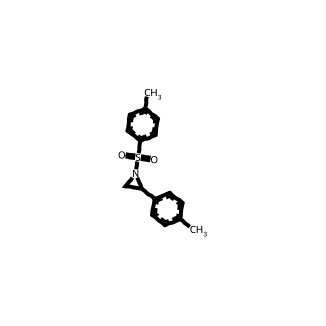 Cc1ccc(C2CN2S(=O)(=O)c2ccc(C)cc2)cc1